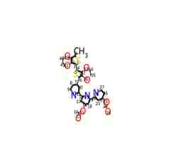 Cc1sc(-c2sc(-c3ccnc(-c4cc(OC=O)cc(-c5cc(OC=O)ccn5)n4)c3)c3c2OCCO3)c2c1OCCO2